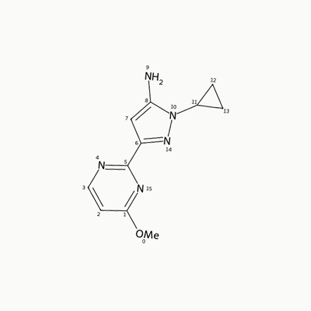 COc1ccnc(-c2cc(N)n(C3CC3)n2)n1